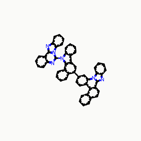 c1ccc2c(c1)ccc1c2c2ccc(-c3cc4c5ccccc5n(-c5nc6ccccc6c6nc7ccccc7n56)c4c4ccccc34)cc2n2c3ccccc3nc12